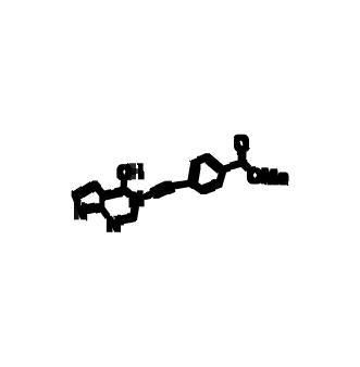 COC(=O)c1ccc(C#Cn2cnc3nccc-3c2O)cc1